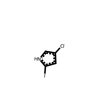 Clc1c[nH]c(I)c1